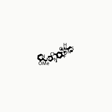 COc1cccnc1CN1CC[C@H](N(C)c2cc(F)c(S(=O)(=O)Nc3cscn3)cc2Cl)C1